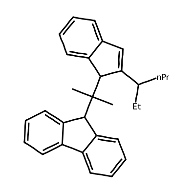 CCCC(CC)C1=Cc2ccccc2C1C(C)(C)C1c2ccccc2-c2ccccc21